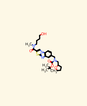 CN(CCCCO)C(=O)c1cn2c(nc3cc(CN(CC4CCCO4)C(=O)OC(C)(C)C)ccc32)s1